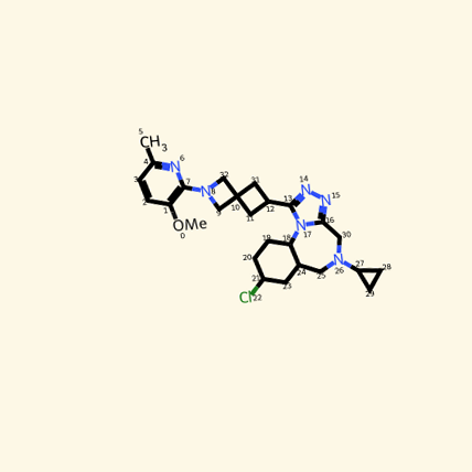 COc1ccc(C)nc1N1CC2(CC(c3nnc4n3C3CCC(Cl)CC3CN(C3CC3)C4)C2)C1